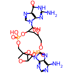 Nc1nc2c(ncn2C2OC3CO[PH](=O)OC4C5OCC4(COP(=O)(O)OC2C3O)OC5n2cnc3c(N)ncnc32)c(=O)[nH]1